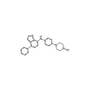 CCN1CCN(c2ccc(Nc3ccc(-c4ccccc4)n4ccnc34)cc2)CC1